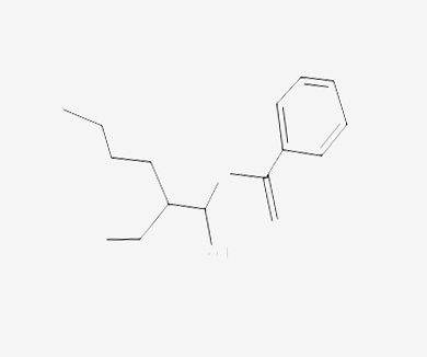 CCCCC(CC)C(O)OC(=O)c1ccccc1